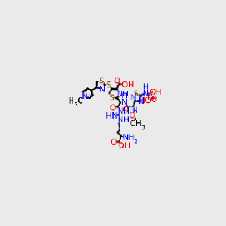 CCO/N=C(\C(=O)N[C@H](C(=O)NC(=N)NCCC[C@@H](N)C(=O)O)[C@@H]1NC(C(=O)O)=C(Sc2nc(-c3cc[n+](C)cc3)cs2)CS1)c1nsc(NP(=O)(O)O)n1